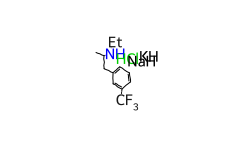 CCNC(C)Cc1cccc(C(F)(F)F)c1.Cl.[KH].[NaH]